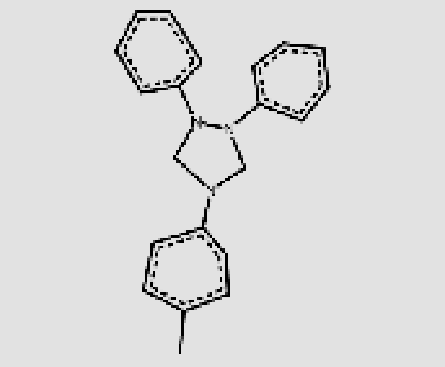 Cc1ccc(N2CN(c3ccccc3)N(c3ccccc3)C2)cc1